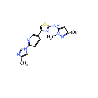 Cc1cn(-c2ccc(-c3csc(Nc4cc(C(C)(C)C)nn4C)n3)cn2)cn1